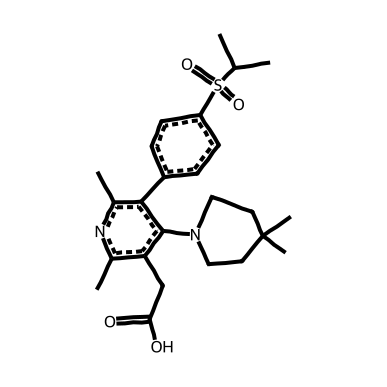 Cc1nc(C)c(-c2ccc(S(=O)(=O)C(C)C)cc2)c(N2CCC(C)(C)CC2)c1CC(=O)O